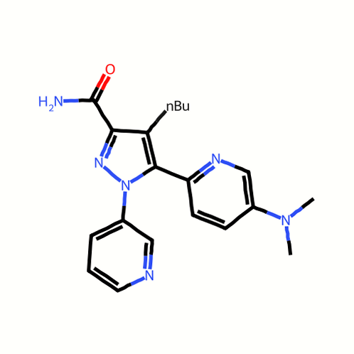 CCCCc1c(C(N)=O)nn(-c2cccnc2)c1-c1ccc(N(C)C)cn1